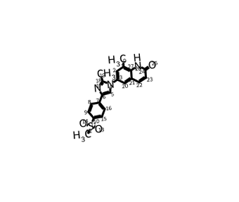 Cc1cc(-n2cc(-c3ccc(S(C)(=O)=O)cc3)nc2C)cc2ccc(=O)[nH]c12